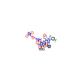 CC(=O)O[C@@H](C)C(=O)N(C[C@H]1CN(C(=O)OC(C)(C)C)C[C@@H]1OC(=O)NCCOCCN1C(=O)C=CC1=O)[C@@H](c1nc(-c2cc(F)ccc2F)cn1Cc1ccccc1)C1CCOCC1